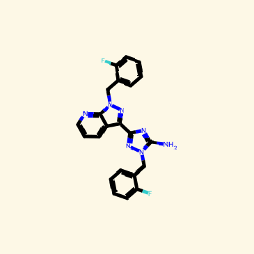 Nc1nc(-c2nn(Cc3ccccc3F)c3ncccc23)nn1Cc1ccccc1F